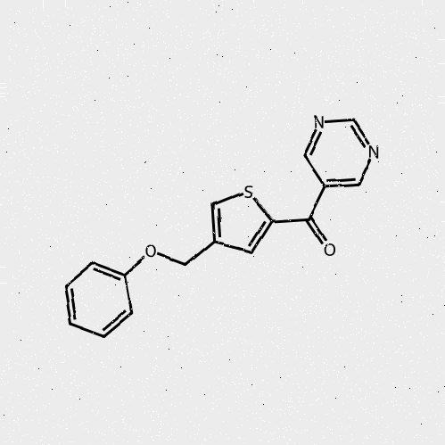 O=C(c1cncnc1)c1cc(COc2ccccc2)cs1